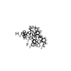 C=C(/N=C\C(=C/N)OCCS(C)(=O)=O)N(Cc1cc(C(F)(F)F)ccc1N(CC)CC1CCC(CC(=O)O)CC1)[C@@H](C)c1cc(C(F)(F)F)cc(C(F)(F)F)c1